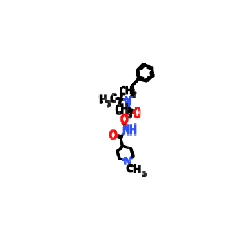 CN1CCC(C(=O)NOC(=O)N(CCc2ccccc2)C(C)(C)C)CC1